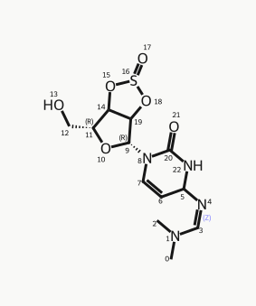 CN(C)/C=N\C1C=CN([C@@H]2O[C@H](CO)C3OS(=O)OC32)C(=O)N1